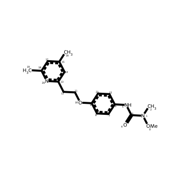 CON(C)C(=O)Nc1ccc(OCCc2cc(C)cc(C)n2)cc1